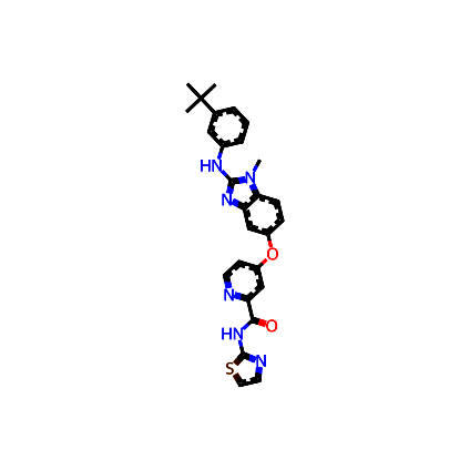 Cn1c(Nc2cccc(C(C)(C)C)c2)nc2cc(Oc3ccnc(C(=O)Nc4nccs4)c3)ccc21